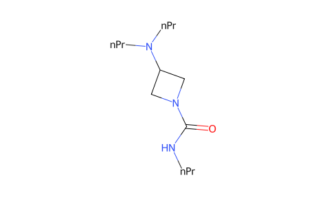 CCCNC(=O)N1CC(N(CCC)CCC)C1